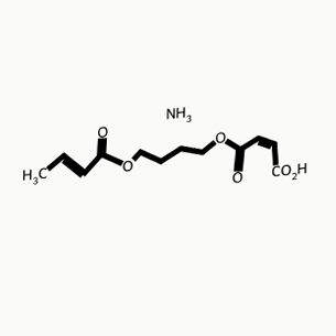 CC=CC(=O)OCCCCOC(=O)/C=C\C(=O)O.N